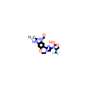 CCNc1cc2c(cc1NC=O)-c1nc(N3C(O)OC[C@H]3C(F)F)cn1CCO2